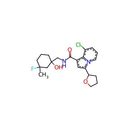 CC1(F)CCCC(O)(CNC(=O)c2cc(C3CCCO3)n3cccc(Cl)c23)C1